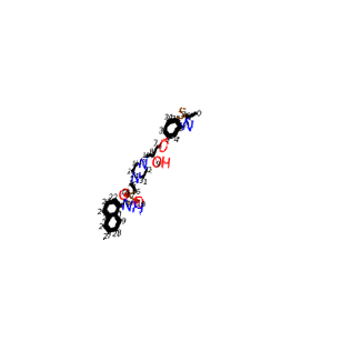 Cc1nc2cc(OC[C@H](O)CN3CCN(CCS(=O)(=O)Nc4cccc5ccccc45)CC3)ccc2s1